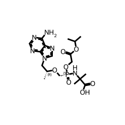 CC(C)OC(=O)CO[P@@](=O)(CO[C@H](C)Cn1cnc2c(N)ncnc21)NC(C)(C)C(=O)O